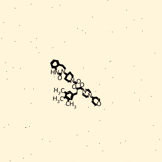 Cc1cc(C[C@@H](OC(=O)N2CCC(N3CCc4ccccc4NC3=O)CC2)C(=O)N2CCN(C3CCOCC3)CC2)cc(C)c1C